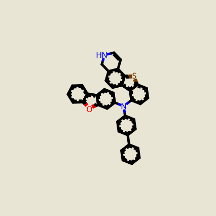 C1=Cc2c(ccc3c2sc2cccc(N(c4ccc(-c5ccccc5)cc4)c4ccc5c(c4)oc4ccccc45)c23)CN1